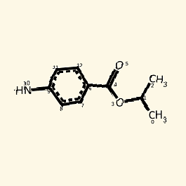 CC(C)OC(=O)c1ccc([NH])cc1